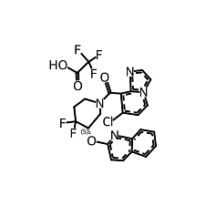 O=C(O)C(F)(F)F.O=C(c1c(Cl)ccn2ccnc12)N1CCC(F)(F)[C@@H](Oc2ccc3ccccc3n2)C1